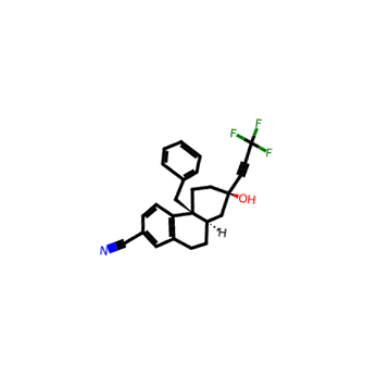 N#Cc1ccc2c(c1)CC[C@@H]1C[C@@](O)(C#CC(F)(F)F)CC[C@@]21Cc1ccccc1